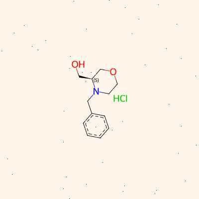 Cl.OC[C@H]1COCCN1Cc1ccccc1